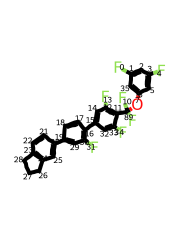 Fc1cc(F)cc(OC(F)(F)c2c(F)cc(-c3ccc(-c4ccc5c(c4)CCC5)cc3F)cc2F)c1